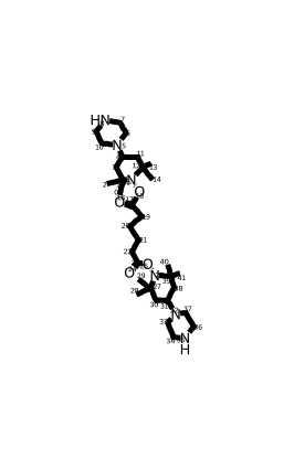 CC1(C)CC(N2CCNCC2)CC(C)(C)N1OC(=O)CCCCC(=O)ON1C(C)(C)CC(N2CCNCC2)CC1(C)C